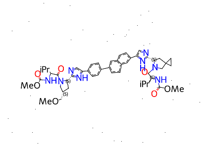 COC[C@H]1C[C@@H](c2ncc(-c3ccc(-c4ccc5cc(-c6cnc([C@@H]7CC8(CC8)CN7C(=O)[C@@H](NC(=O)OC)C(C)C)[nH]6)ccc5c4)cc3)[nH]2)N(C(=O)C(NC(=O)OC)C(C)C)C1